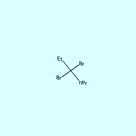 CCCC(Br)(Br)CC